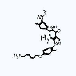 CSNc1cc2[nH]c(C(=O)c3cnn(-c4ccc(OC/C=C\C=C/CP)cc4C)c3N)cc2cc1C